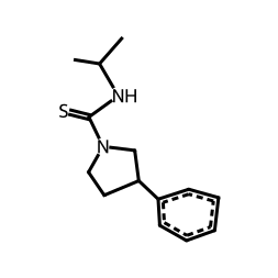 CC(C)NC(=S)N1CCC(c2ccccc2)C1